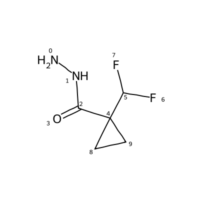 NNC(=O)C1(C(F)F)CC1